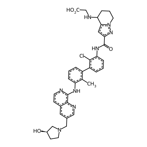 Cc1c(Nc2nccc3cc(CN4CC[C@@H](O)C4)cnc23)cccc1-c1cccc(NC(=O)c2cc3n(n2)CCCC3NCC(=O)O)c1Cl